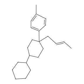 CC=CCC1(c2ccc(C)cc2)CCC(C2CCCCC2)CC1